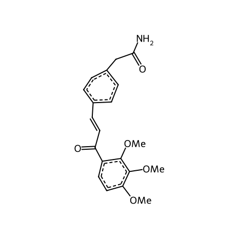 COc1ccc(C(=O)C=Cc2ccc(CC(N)=O)cc2)c(OC)c1OC